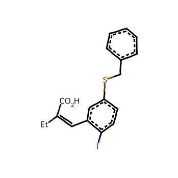 CCC(=Cc1cc(SCc2ccccc2)ccc1I)C(=O)O